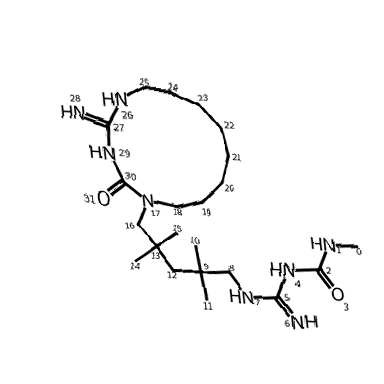 CNC(=O)NC(=N)NCC(C)(C)CC(C)(C)CN1CCCCCCCCNC(=N)NC1=O